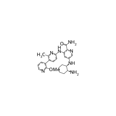 COc1ncccc1-c1ccc(Nc2cc(N[C@@H]3CCCC[C@@H]3N)cnc2C(N)=O)nc1C